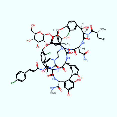 CNNC(=O)[C@@H]1NC(=O)[C@H]2NC(=O)[C@H](NC(=O)[C@@H]3NC(=O)[C@H](CC(N)=O)NC(=O)[C@H](NC(=O)[C@@H](CC(C)C)NC)[C@H](O)c4ccc(c(Cl)c4)Oc4cc3cc(c4O[C@@H]3O[C@H](CO)[C@@H](O)[C@H](O)[C@H]3O[C@H]3C[C@](C)(NCCn4ccc(NC(=O)/C=C/c5ccc(Cl)cc5)nc4=O)[C@H](O)[C@H](C)O3)Oc3ccc(cc3Cl)[C@H]2O)c2ccc(O)c(c2)-c2c(O)cc(O)cc21